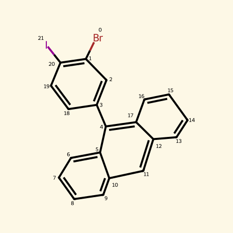 Brc1cc(-c2c3ccccc3cc3ccccc23)ccc1I